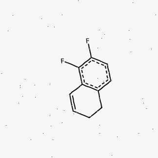 Fc1ccc2c(c1F)C=CCC2